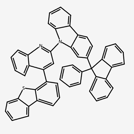 c1ccc(C2(c3ccc4c5ccccc5n(-c5cc(-c6cccc7c6sc6ccccc67)c6ccccc6n5)c4c3)c3ccccc3-c3ccccc32)cc1